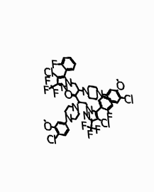 COc1cc(N2CCN(C(Cn3nc(C(F)(F)F)c(Cl)c3-c3ccccc3F)C(=O)C(Cn3nc(C(F)(F)F)c(Cl)c3-c3ccccc3F)N3CCN(c4ccc(Cl)c(OC)c4)CC3)CC2)ccc1Cl